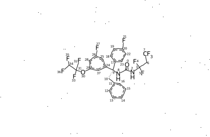 O=C(NC(F)(F)CC(F)(F)F)N[C@](Cc1ccccc1)(c1ccc(F)cc1)c1cc(F)cc(OC(F)(F)C(F)F)c1